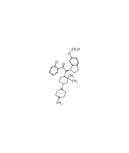 CN1CCN(C2CCC(N(C(=O)c3ccccc3Cl)[C@@H]3CCc4ccc(OC(=O)O)cc43)C(C)(C)C2)CC1